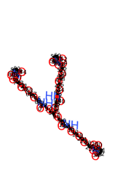 O=C(CCOCC(COCCC(=O)NCCOCCOCCOCCC(=O)ON1C(=O)CCC1=O)COCCC(=O)NCCOCCOCCOCCC(=O)ON1C(=O)CCC1=O)NCCOCCOCCOCCC(=O)ON1C(=O)CCC1=O